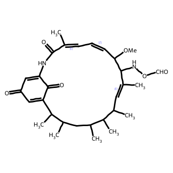 COC1/C=C\C=C(/C)C(=O)NC2=CC(=O)C=C(C2=O)C(C)C(C)CC(C)C(C)C(C)/C=C(\C)C1NOC=O